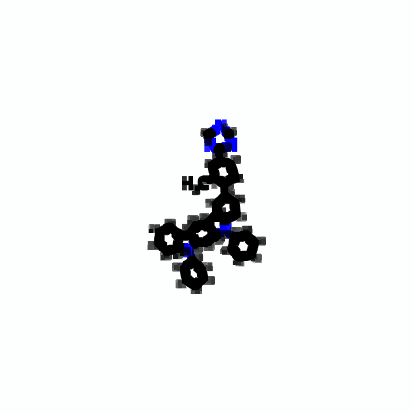 Cc1cc(-c2ncncn2)ccc1-c1ccc2c(c1)c1cc3c4ccccc4n(-c4ccccc4)c3cc1n2-c1ccccc1